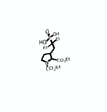 CCOC(=O)C1C(CC(CC)(CC)P(=O)(O)O)CCN1C(=O)OCC